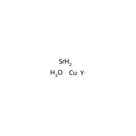 O.[Cu].[SrH2].[Y]